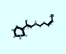 CC/C=C\CCO/C=C(\C)c1ccccc1